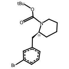 CC(C)(C)OC(=O)N1CCCC[C@H]1Cc1cccc(Br)c1